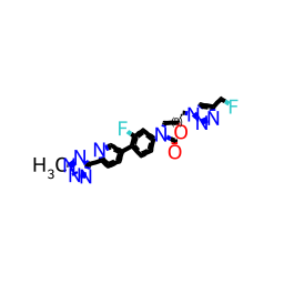 Cn1nnc(-c2ccc(-c3ccc(N4C[C@H](Cn5cc(CF)nn5)OC4=O)cc3F)cn2)n1